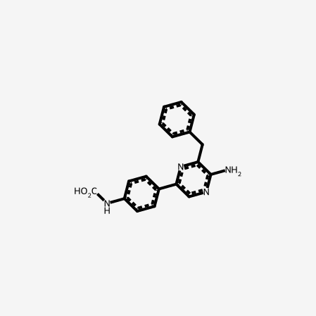 Nc1ncc(-c2ccc(NC(=O)O)cc2)nc1Cc1ccccc1